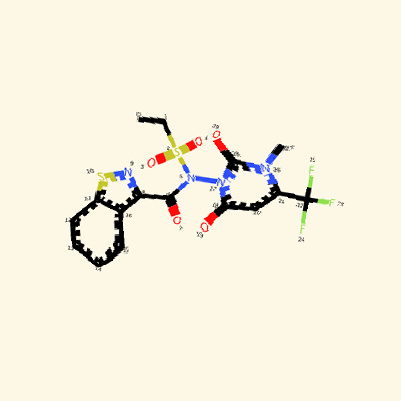 CCS(=O)(=O)N(C(=O)c1nsc2ccccc12)n1c(=O)cc(C(F)(F)F)n(C)c1=O